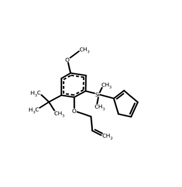 C=CCOc1c(C(C)(C)C)cc(OC)cc1[Si](C)(C)C1=CC=CC1